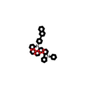 c1ccc(-c2ccccc2N(c2ccc(-c3ccc4ccccc4c3)cc2)c2ccccc2-c2cccc(-c3cccc4c3c3ccccc3n4-c3ccccc3)c2)cc1